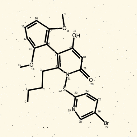 CCCCc1c(-c2c(OC)cccc2OC)c(O)cc(=O)n1Sc1ccc(Br)cn1